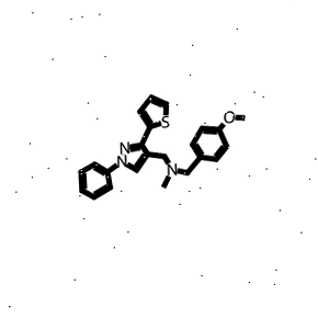 COc1ccc(CN(C)Cc2cn(-c3ccccc3)nc2-c2cccs2)cc1